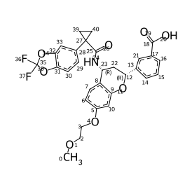 COCCOc1ccc2c(c1)O[C@@H](c1cccc(C(=O)O)c1)C[C@H]2NC(=O)C1(c2ccc3c(c2)OC(F)(F)O3)CC1